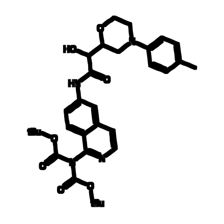 Cc1ccc(N2CCOC(C(O)C(=O)Nc3ccc4c(N(C(=O)OC(C)(C)C)C(=O)OC(C)(C)C)nccc4c3)C2)cc1